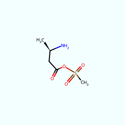 C[C@@H](N)CC(=O)OS(C)(=O)=O